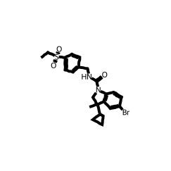 CCS(=O)(=O)c1ccc(CNC(=O)N2CC(C)(C3CCC3)c3cc(Br)ccc32)cc1